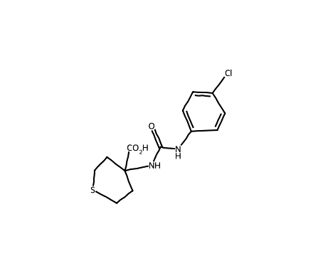 O=C(Nc1ccc(Cl)cc1)NC1(C(=O)O)CCSCC1